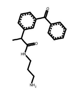 CC(C(=O)NCCCN)c1cccc(C(=O)c2ccccc2)c1